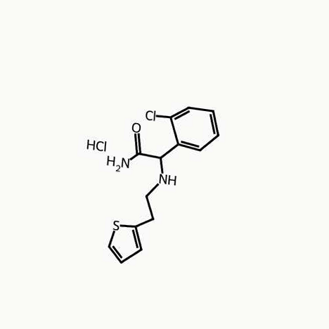 Cl.NC(=O)C(NCCc1cccs1)c1ccccc1Cl